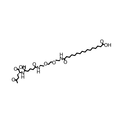 CC(=O)CC[C@H](NC(=O)CCCC(=O)NCCOCCOCCNC(=O)CCCCCCCCCCCCCCC(=O)O)C(=O)O